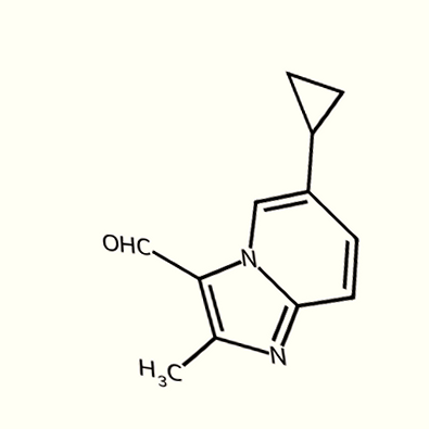 Cc1nc2ccc(C3CC3)cn2c1C=O